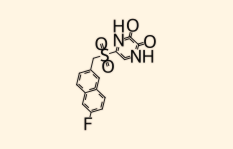 O=c1[nH]cc(S(=O)(=O)Cc2ccc3cc(F)ccc3c2)[nH]c1=O